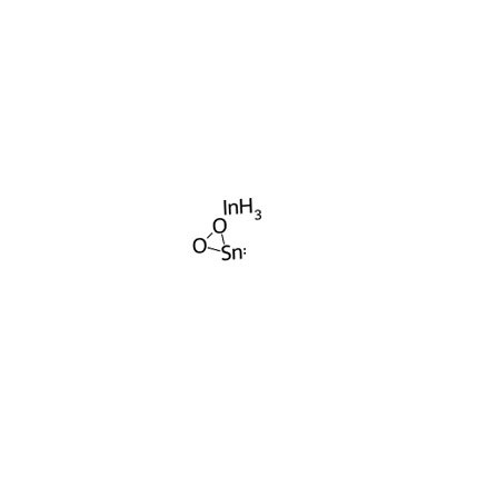 [InH3].[O]1[O][Sn]1